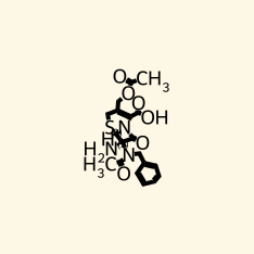 CC(=O)OCC1=C(C(=O)O)N2C(=O)[C@](N)(N(Cc3ccccc3)C(C)=O)[C@H]2SC1